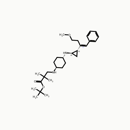 COCC/C(=C\c1ccccc1)[C@@H]1C[C@H]1N[C@H]1CC[C@H](NCC(C)(C)C(=O)OC(C)(C)C)CC1